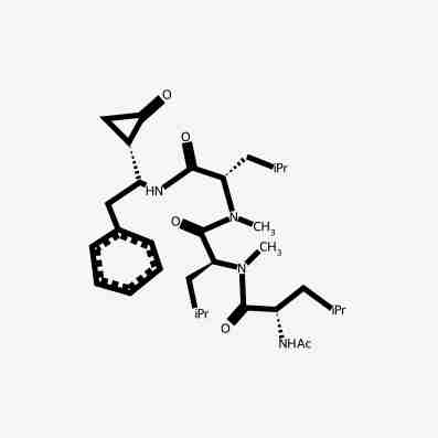 CC(=O)N[C@@H](CC(C)C)C(=O)N(C)[C@@H](CC(C)C)C(=O)N(C)[C@@H](CC(C)C)C(=O)NC(Cc1ccccc1)[C@@H]1CC1=O